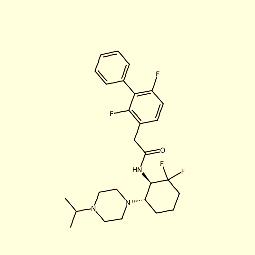 CC(C)N1CCN([C@H]2CCCC(F)(F)[C@@H]2NC(=O)Cc2ccc(F)c(-c3ccccc3)c2F)CC1